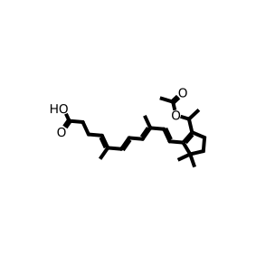 CC(=O)OC(C)C1=C(C=CC(C)=CC=CC(C)=CCCC(=O)O)C(C)(C)CC1